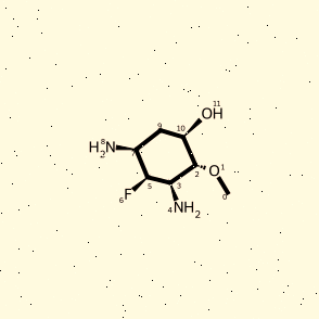 CO[C@@H]1[C@@H](N)[C@@H](F)[C@@H](N)C[C@H]1O